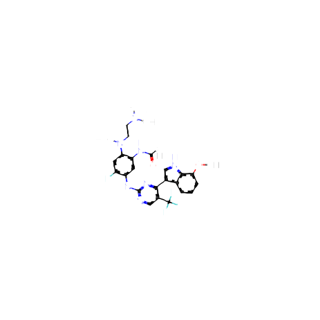 COc1cccc2c(-c3nc(Nc4cc(NC(C)=O)c(N(C)CCN(C)C)cc4F)ncc3C(F)(F)F)c[nH]c12